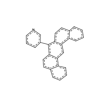 c1cncc(-c2c3ccc4ccccc4c3cc3c2ccc2ccccc23)c1